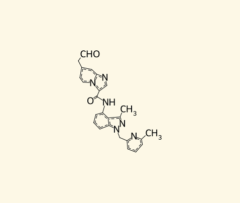 Cc1cccc(Cn2nc(C)c3c(NC(=O)c4cnc5cc(CC=O)ccn45)cccc32)n1